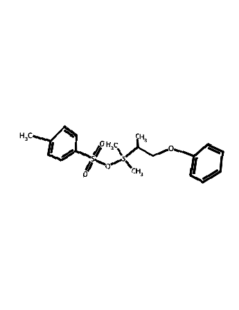 Cc1ccc(S(=O)(=O)OS(C)(C)C(C)COc2ccccc2)cc1